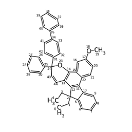 CCC1(CC)c2ccccc2-c2c1c1c(c3cc(OC)ccc23)OC(c2ccccc2)(c2ccc(-c3ccccc3)cc2)C=C1